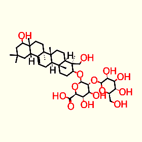 CC1(C)C[C@@H](O)[C@]2(C)CC[C@]3(C)C(=CC[C@@H]4[C@@]5(C)CC[C@H](O[C@@H]6O[C@H](C(=O)O)[C@@H](O)[C@H](O)[C@H]6O[C@@H]6O[C@H](CO)[C@@H](O)[C@H](O)[C@H]6O)[C@](C)(CO)[C@@H]5CC[C@]43C)[C@@H]2C1